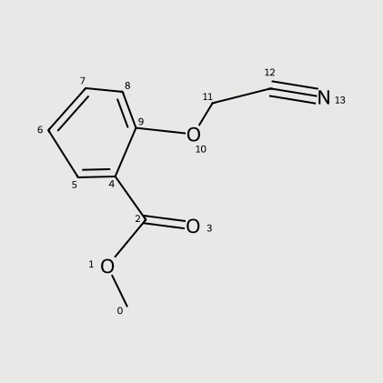 COC(=O)c1ccccc1OCC#N